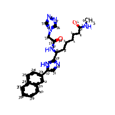 CNC(=O)CCCCCC(NC(=O)Cn1cnnc1)c1ncc(-c2ccc3ccccc3c2)[nH]1